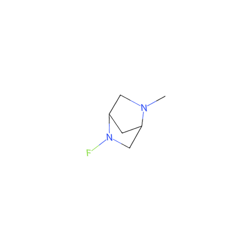 CN1CC2CC1CN2F